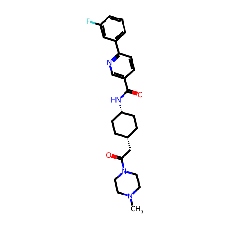 CN1CCN(C(=O)C[C@H]2CC[C@@H](NC(=O)c3ccc(-c4cccc(F)c4)nc3)CC2)CC1